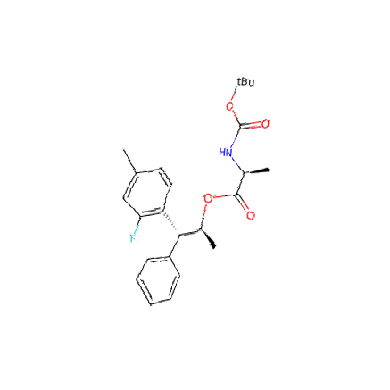 Cc1ccc([C@@H](c2ccccc2)[C@H](C)OC(=O)[C@H](C)NC(=O)OC(C)(C)C)c(F)c1